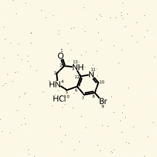 Cl.O=C1CNCc2cc(Br)cnc2N1